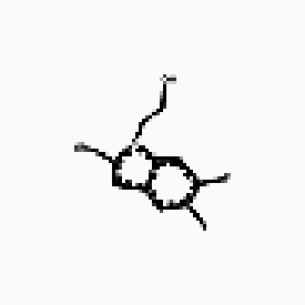 Cc1cc2cc(C(C)(C)C)n(CCO)c2cc1F